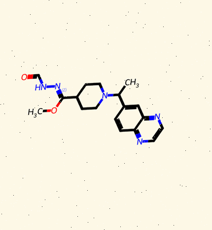 CO/C(=N\NC=O)C1CCN(C(C)c2ccc3nccnc3c2)CC1